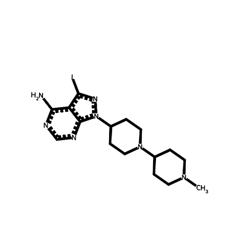 CN1CCC(N2CCC(n3nc(I)c4c(N)ncnc43)CC2)CC1